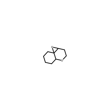 C1CCC23OC2CCOC3C1